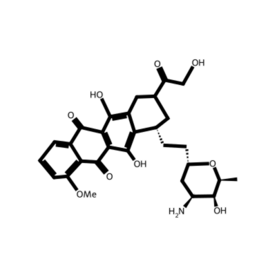 COc1cccc2c1C(=O)c1c(O)c3c(c(O)c1C2=O)CC(C(=O)CO)C[C@@H]3CC[C@H]1C[C@H](N)[C@H](O)[C@H](C)O1